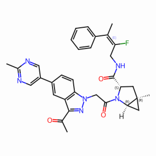 CC(=O)c1nn(CC(=O)N2[C@H](C(=O)NC/C(F)=C(/C)c3ccccc3)C[C@@]3(C)C[C@@H]23)c2ccc(-c3cnc(C)nc3)cc12